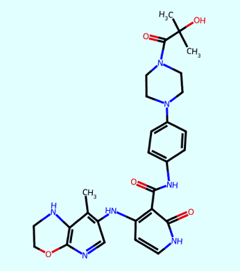 Cc1c(Nc2cc[nH]c(=O)c2C(=O)Nc2ccc(N3CCN(C(=O)C(C)(C)O)CC3)cc2)cnc2c1NCCO2